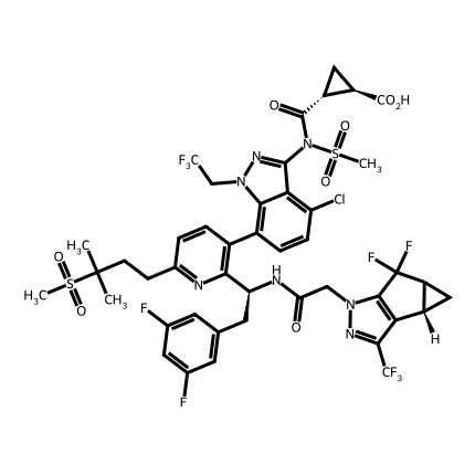 CC(C)(CCc1ccc(-c2ccc(Cl)c3c(N(C(=O)[C@@H]4C[C@H]4C(=O)O)S(C)(=O)=O)nn(CC(F)(F)F)c23)c([C@H](Cc2cc(F)cc(F)c2)NC(=O)Cn2nc(C(F)(F)F)c3c2C(F)(F)C2C[C@H]32)n1)S(C)(=O)=O